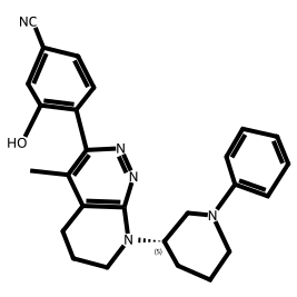 Cc1c(-c2ccc(C#N)cc2O)nnc2c1CCCN2[C@H]1CCCN(c2ccccc2)C1